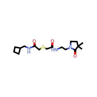 CC1(C)CCN(CCNC(=O)CSCC(=O)NCC2CCC2)C1=O